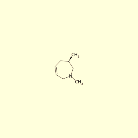 C[C@@H]1CC=CCN(C)C1